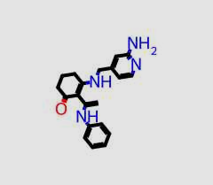 C=C(Nc1ccccc1)C1=C(NCc2ccnc(N)c2)CCCC1=O